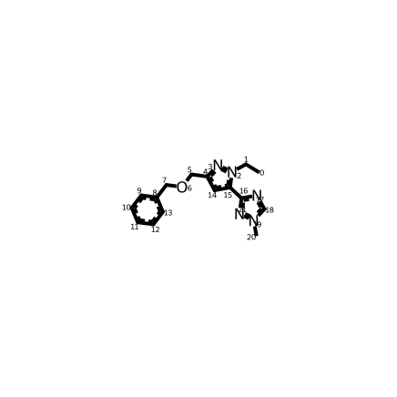 CCn1nc(COCc2ccccc2)cc1-c1ncn(C)n1